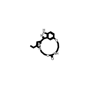 CCc1cc2nn1CCOC(=O)NCCCOc1ccc3[nH]nc-2c3c1